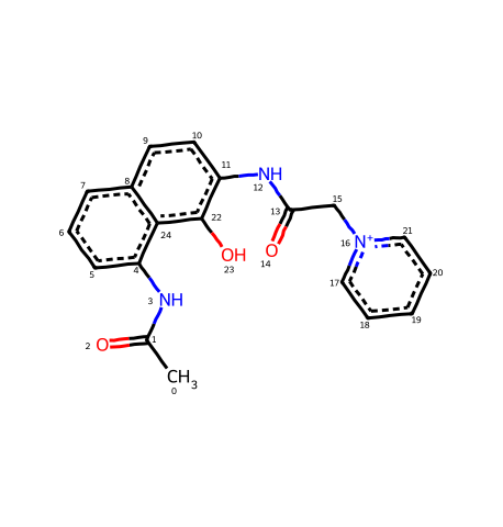 CC(=O)Nc1cccc2ccc(NC(=O)C[n+]3ccccc3)c(O)c12